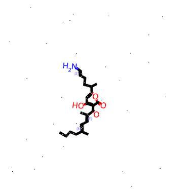 CCCC/C(C)=C/C=C(\C)C(=O)c1c(O)cc(C(C)CC/C=C/N)oc1=O